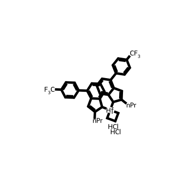 CCCC1=Cc2c(-c3ccc(C(F)(F)F)cc3)cccc2[CH]1[Hf]1([CH]2C(CCC)=Cc3c(-c4ccc(C(F)(F)F)cc4)cccc32)[CH2]C[CH2]1.Cl.Cl